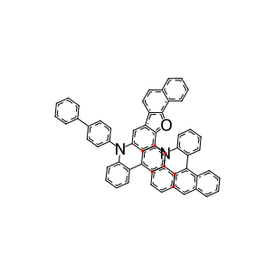 c1ccc(-c2ccc(N(c3cc(N(c4ccccc4)c4ccccc4-c4cccc5ccccc45)c4oc5c6ccccc6ccc5c4c3)c3ccccc3-c3ccccc3)cc2)cc1